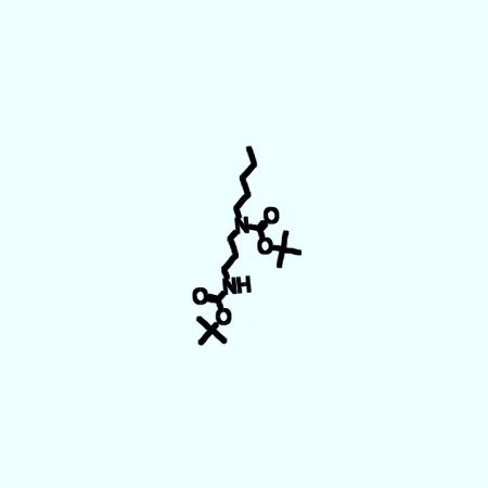 CCCCCN(CCCNC(=O)OC(C)(C)C)C(=O)OC(C)(C)C